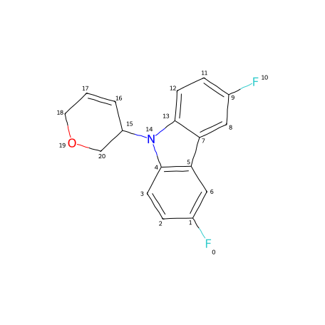 Fc1ccc2c(c1)c1cc(F)ccc1n2C1C=CCOC1